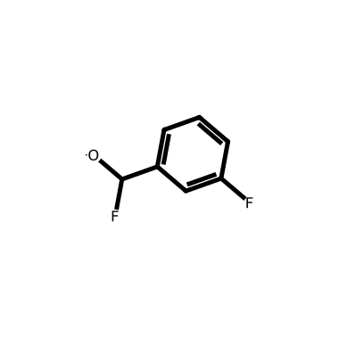 [O]C(F)c1cccc(F)c1